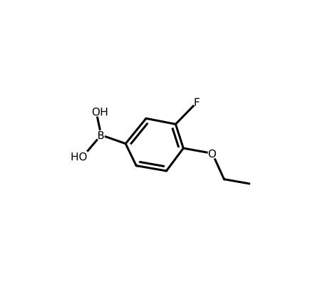 CCOc1ccc(B(O)O)cc1F